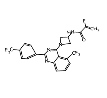 C=C(F)C(=O)NC1CN(c2nc(-c3ccc(C(F)(F)F)cc3)nc3cccc(C(F)(F)F)c23)C1